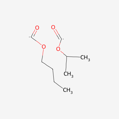 CC(C)O[C]=O.CCCCO[C]=O